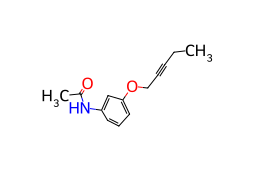 CCC#CCOc1cccc(NC(C)=O)c1